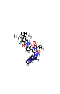 CC(=O)OCc1c(-c2cc(Nc3ccc(N4C5CCC4CN(C)C5)cn3)c(=O)n(C)n2)cccc1-n1ncc2cc(C(C)(C)C)cc(F)c2c1=O